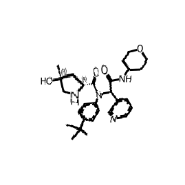 CC(C)(C)c1ccc(N(C(=O)[C@H]2C[C@@](C)(O)CN2)C(C(=O)NC2CCOCC2)c2cccnc2)cc1